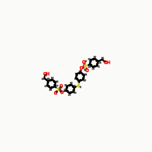 O=S(=O)(Oc1ccc(Sc2ccc(OS(=O)(=O)c3ccc(CO)cc3)cc2)cc1)c1ccc(CO)cc1